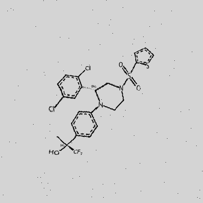 C[C@@](O)(c1ccc(N2CCN(S(=O)(=O)c3cccs3)C[C@H]2c2cc(Cl)ccc2Cl)cc1)C(F)(F)F